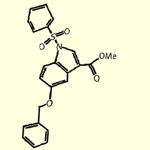 COC(=O)c1cn(S(=O)(=O)c2ccccc2)c2ccc(OCc3ccccc3)cc12